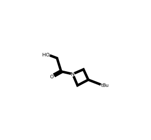 CC(C)(C)C1CN(C(=O)CO)C1